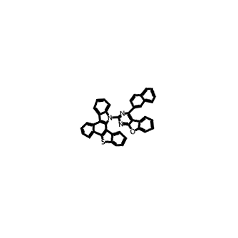 c1ccc2cc(-c3nc(-n4c5ccccc5c5c6ccccc6c6sc7ccccc7c6c54)nc4oc5ccccc5c34)ccc2c1